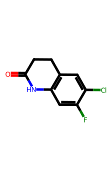 O=C1CCc2cc(Cl)c(F)cc2N1